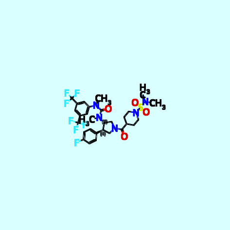 CN(C(=O)N(C)[C@@H]1CN(C(=O)C2CCN(S(=O)(=O)N(C)C)CC2)C[C@H]1c1ccc(F)cc1)c1cc(C(F)(F)F)cc(C(F)(F)F)c1